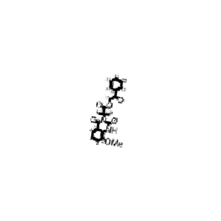 COc1cccc2c(=O)n(C(C)(C)C(=O)OCC(=O)c3ccccc3)c(=O)[nH]c12